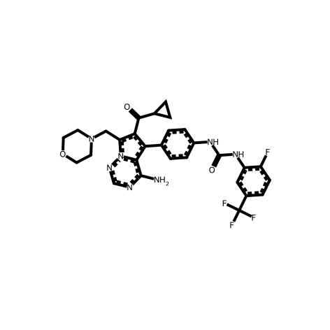 Nc1ncnn2c(CN3CCOCC3)c(C(=O)C3CC3)c(-c3ccc(NC(=O)Nc4cc(C(F)(F)F)ccc4F)cc3)c12